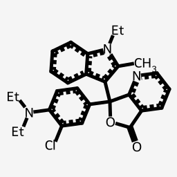 CCN(CC)c1ccc(C2(c3c(C)n(CC)c4ccccc34)OC(=O)c3cccnc32)cc1Cl